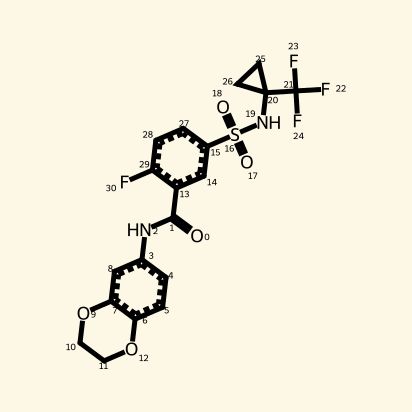 O=C(Nc1ccc2c(c1)OCCO2)c1cc(S(=O)(=O)NC2(C(F)(F)F)CC2)ccc1F